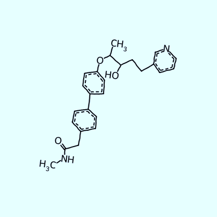 CNC(=O)Cc1ccc(-c2ccc(OC(C)C(O)CCc3cccnc3)cc2)cc1